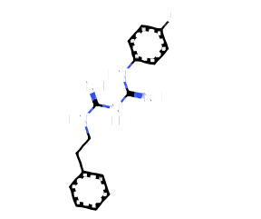 N=C(NCCc1ccccc1)NC(=N)Nc1ccc(C(F)(F)F)cc1